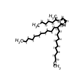 CCCCCCCCCCCC(CCCCCCCCCCC)c1nccn1C(C)CCCCC